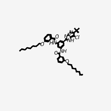 CCCCCCCCOc1cccc(C(=O)Nc2cc(NC(=O)c3cccc(OCCCCCCCC)c3)cc(-c3nn4nc(C(C)(C)C)c(Cl)c4[nH]3)c2)c1